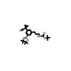 CC(C)(C)OC(=O)NCCCc1cc(B2OC(C)(C)C(C)(C)O2)cc(C2(C#N)CC2)c1